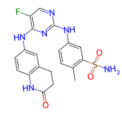 Cc1ccc(Nc2ncc(F)c(Nc3ccc4c(c3)CCC(=O)N4)n2)cc1S(N)(=O)=O